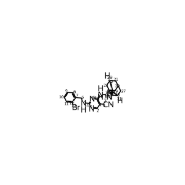 N#Cc1cnc(NCc2ccccc2Br)nc1NC[C@@]12CC3C[C@H](C1)[C@@H](N)[C@@H](C3)C2